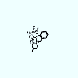 CC1CCC(N(Cc2ccccc2OC(F)(F)F)CC(O)C(F)(F)F)CC1